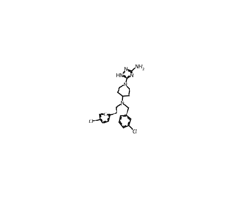 Nc1n[nH]c(N2CCC(N(CCc3ccc(Cl)cc3)Cc3cccc(Cl)c3)CC2)n1